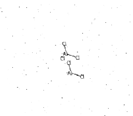 [C].[Cl][Al][Cl].[Cl][Al][Cl]